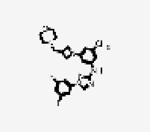 Cc1cc(Nc2ncn(-c3cc(F)cc(F)c3)n2)cc(N2CC(CN3CCOCC3)C2)c1